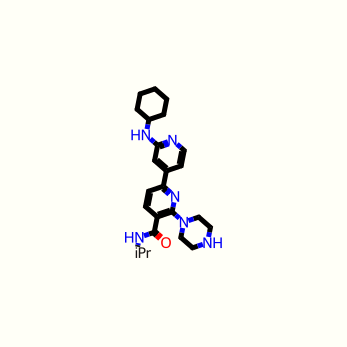 CC(C)NC(=O)c1ccc(-c2ccnc(NC3CCCCC3)c2)nc1N1CCNCC1